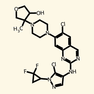 CC1(N2CCN(c3cc4nc(Nc5cnn(C6CC6(F)F)c5Cl)ncc4cc3Cl)CC2)COCC1O